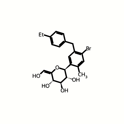 CCc1ccc(Cc2cc([C@@H]3O/C(=C/O)[C@@H](O)[C@H](O)[C@H]3O)c(C)cc2Br)cc1